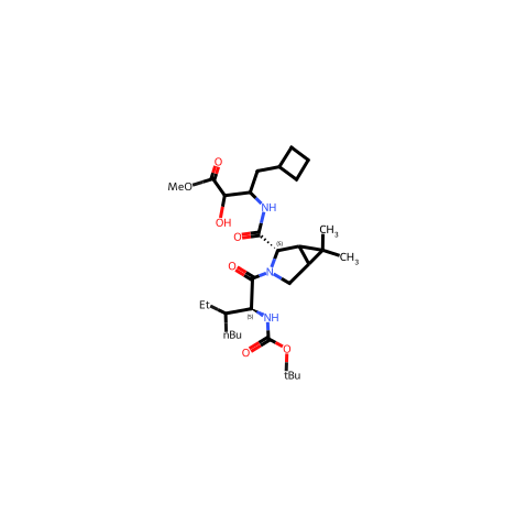 CCCCC(CC)[C@H](NC(=O)OC(C)(C)C)C(=O)N1CC2C([C@H]1C(=O)NC(CC1CCC1)C(O)C(=O)OC)C2(C)C